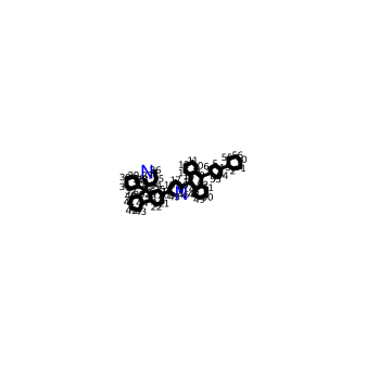 c1ccc(-c2ccc(-c3c4ccccc4c(-c4ccc(-c5ccc6c(c5)C(c5ccccc5)(c5cccnc5)c5ccccc5-6)cn4)c4ccccc34)cc2)cc1